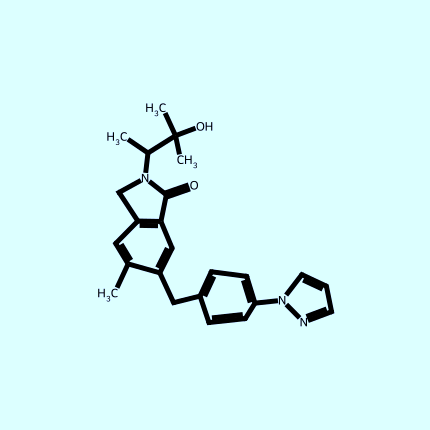 Cc1cc2c(cc1Cc1ccc(-n3cccn3)cc1)C(=O)N(C(C)C(C)(C)O)C2